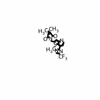 Cn1cc(C(F)(F)F)nc1-c1ccnc2cc(CN3C(=O)C4C(C3=O)C4(C)C)sc12